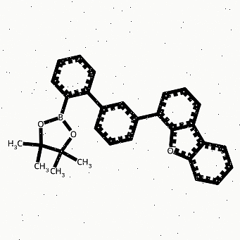 CC1(C)OB(c2ccccc2-c2cccc(-c3cccc4c3oc3ccccc34)c2)OC1(C)C